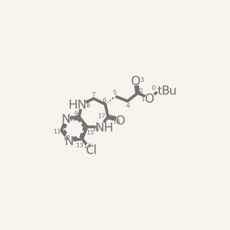 CC(C)(C)OC(=O)CC[C@H]1CNc2ncnc(Cl)c2NC1=O